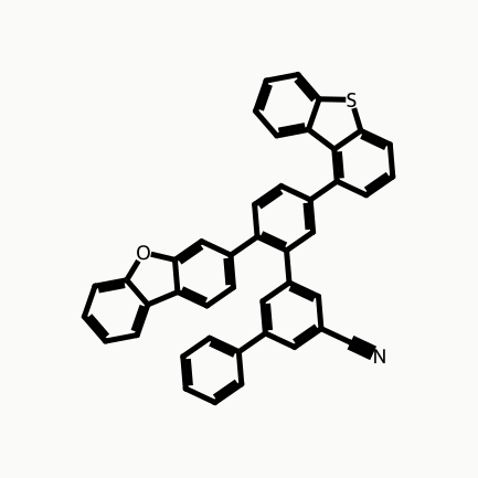 N#Cc1cc(-c2ccccc2)cc(-c2cc(-c3cccc4sc5ccccc5c34)ccc2-c2ccc3c(c2)oc2ccccc23)c1